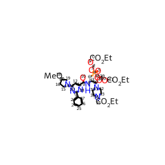 CCOC(=O)OCOP(=O)(C[C@@H](NC(=O)c1cc(N2CC[C@H](OC)C2)nc(-c2ccccc2)n1)C(=O)N1CCN(C(=O)OCC)CC1)OCOC(=O)OCC